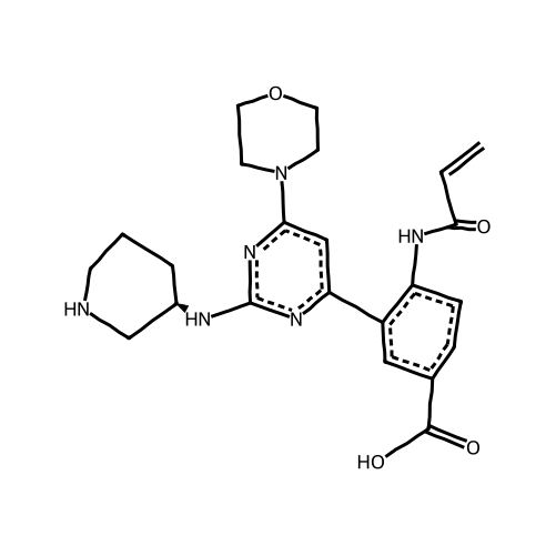 C=CC(=O)Nc1ccc(C(=O)O)cc1-c1cc(N2CCOCC2)nc(N[C@@H]2CCCNC2)n1